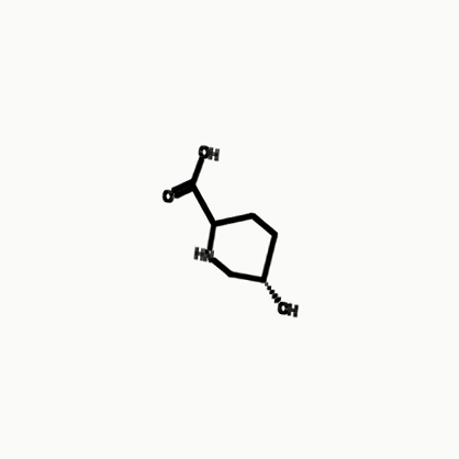 O=C(O)C1CC[C@H](O)CN1